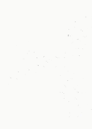 C=CC1=C(/C=C\C)CC2C=Nc3cc(OCc4cc(COc5cc6c(cc5OC)C(=O)N5c7ccccc7CC5CN6)cc(N(CCCC(=O)C(C)C)CCOCCOCCOC)c4)c(OC)cc3C(=O)N12